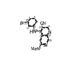 CNc1cc2c(Nc3cccc(Br)c3)c(C#N)cnc2cn1